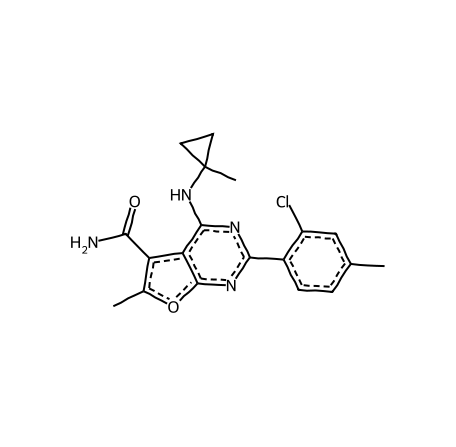 Cc1ccc(-c2nc(NC3(C)CC3)c3c(C(N)=O)c(C)oc3n2)c(Cl)c1